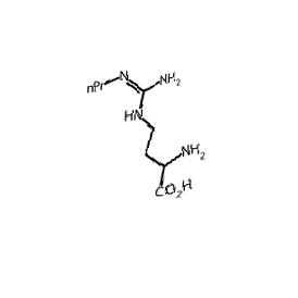 CCCN=C(N)NCCC(N)C(=O)O